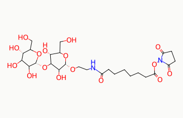 O=C(CCCCCCC(=O)ON1C(=O)CCC1=O)NCCO[C@H]1OC(CO)[C@@H](O)C(O[C@H]2OC(CO)[C@@H](O)C(O)C2O)C1O